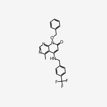 Cc1ncnc2c1c(NCc1ccc(C(F)(F)F)cc1)cc(=O)n2OCc1ccccc1